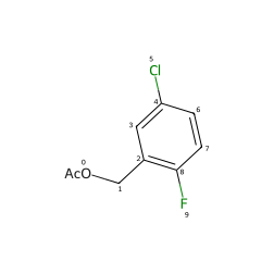 CC(=O)OCc1cc(Cl)ccc1F